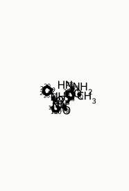 COc1cc(CNC(=O)[C@H]2CCCN2C(=O)CNC2CCCCC2)ccc1C(=N)N